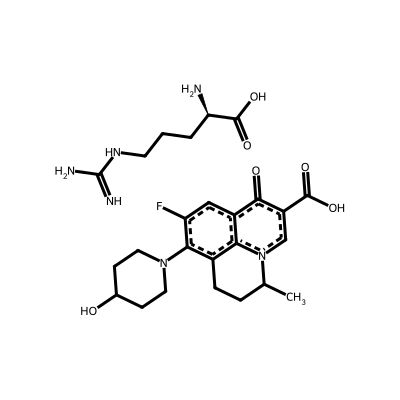 CC1CCc2c(N3CCC(O)CC3)c(F)cc3c(=O)c(C(=O)O)cn1c23.N=C(N)NCCC[C@@H](N)C(=O)O